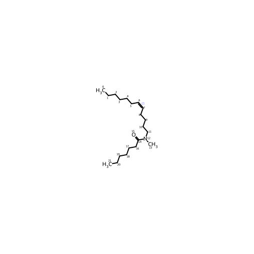 CCCCCC/C=C\CCCCN(C)C(=O)CCCCCC